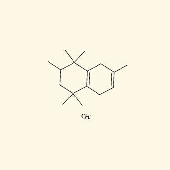 CC1=CCC2=C(C1)C(C)(C)C(C)CC2(C)C.[CH]